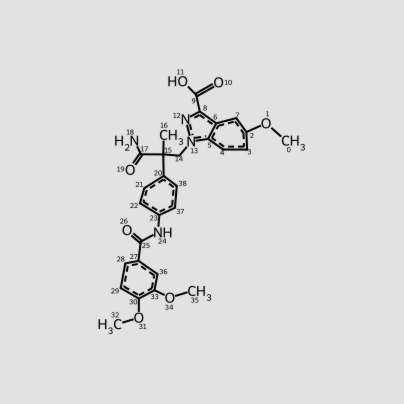 COc1ccc2c(c1)c(C(=O)O)nn2CC(C)(C(N)=O)c1ccc(NC(=O)c2ccc(OC)c(OC)c2)cc1